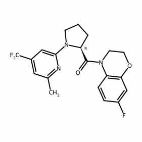 Cc1cc(C(F)(F)F)cc(N2CCC[C@H]2C(=O)N2CCOc3cc(F)ccc32)n1